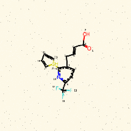 O=C(O)C=CCc1ccc(C(F)(F)F)nc1[SH]1C=CC=C1